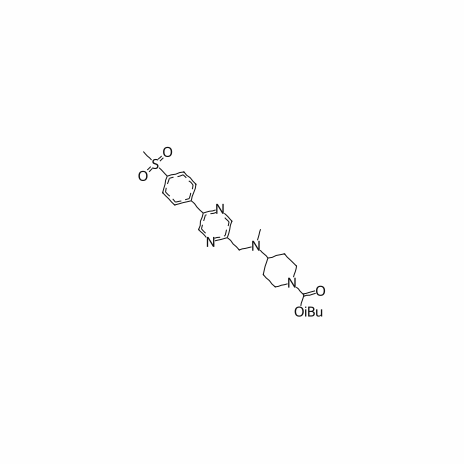 CC(C)COC(=O)N1CCC(N(C)Cc2cnc(-c3ccc(S(C)(=O)=O)cc3)cn2)CC1